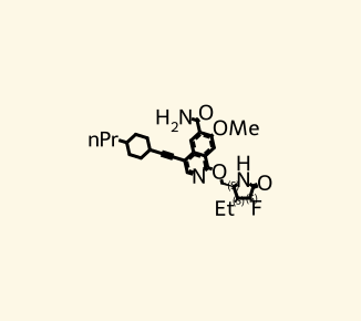 CCCC1CCC(C#Cc2cnc(OC[C@H]3NC(=O)[C@@H](F)[C@H]3CC)c3cc(OC)c(C(N)=O)cc23)CC1